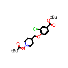 CC(C)(C)OC(=O)c1ccc(OCC2CCN(OC(=O)C(C)(C)C)CC2)c(Cl)c1